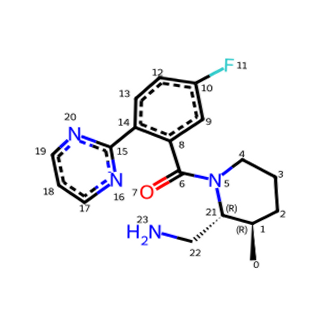 C[C@@H]1CCCN(C(=O)c2cc(F)ccc2-c2ncccn2)[C@H]1CN